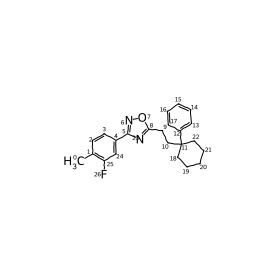 Cc1ccc(-c2noc(CCC3(c4ccccc4)CCCCC3)n2)cc1F